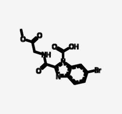 COC(=O)CNC(=O)c1nc2ccc(Br)cc2n1C(=O)O